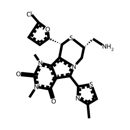 Cc1csc(-c2c3c(=O)n(C)c(=O)n(C)c3c3n2C[C@@H](CN)S[C@H]3c2ccc(Cl)o2)n1